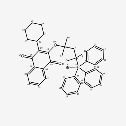 CC(C)(CC(C)(C)P(Br)(c1ccccc1)(c1ccccc1)c1ccccc1)OC1=C(C2CCCCC2)C(=O)c2ccccc2C1=O